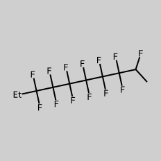 [CH2]CC(F)(F)C(F)(F)C(F)(F)C(F)(F)C(F)(F)C(F)(F)C(C)F